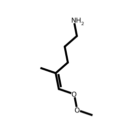 COOC=C(C)CCCN